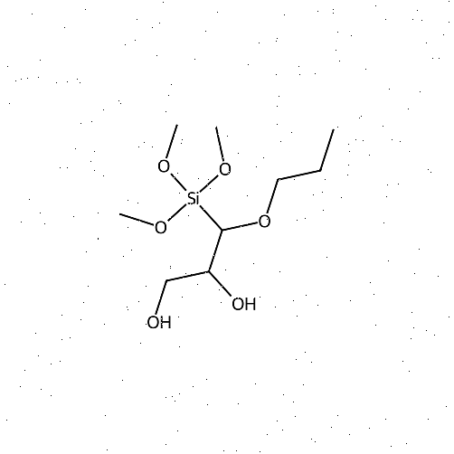 CCCOC(C(O)CO)[Si](OC)(OC)OC